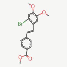 COC(=O)c1ccc(C=Cc2cc(OC)c(OC)cc2Br)cc1